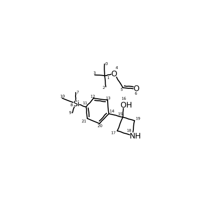 CC(C)(C)OC=O.C[Si](C)(C)c1ccc(C2(O)CNC2)cc1